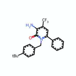 CC(C)(C)c1ccc(Cn2c(-c3ccccc3)cc(C(F)(F)F)c(N)c2=O)cc1